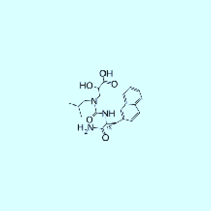 CC(C)CN(CC(O)C(=O)O)C(=O)N[C@@H](Cc1ccc2ccccc2c1)C(N)=O